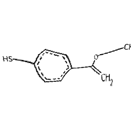 C=C(OC)c1ccc(S)cc1